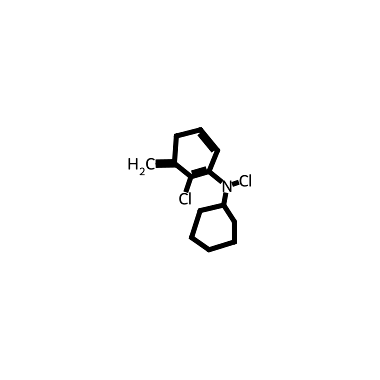 C=C1CC=CC(N(Cl)C2CCCCC2)=C1Cl